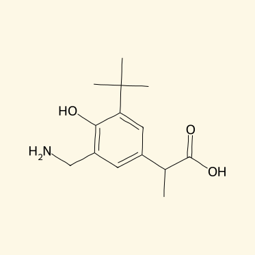 CC(C(=O)O)c1cc(CN)c(O)c(C(C)(C)C)c1